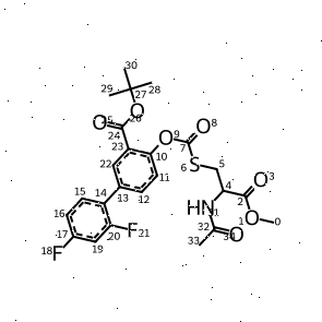 COC(=O)C(CSC(=O)Oc1ccc(-c2ccc(F)cc2F)cc1C(=O)OC(C)(C)C)NC(C)=O